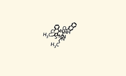 CCCc1nnc2n1-c1sc(CC)cc1C(c1ccccc1Cl)=NC2NC(=O)c1ccc2ccccc2c1